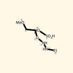 CCNNOCCOC.O=S(=O)(O)O